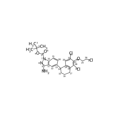 CC(C)(C)OC(=O)n1nc(N)c2cc(C3CCCc4c3cc(Cl)c(OCCCl)c4Cl)ccc21